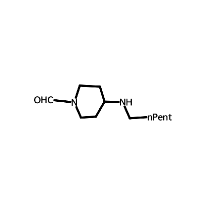 CCCCCCNC1CCN(C=O)CC1